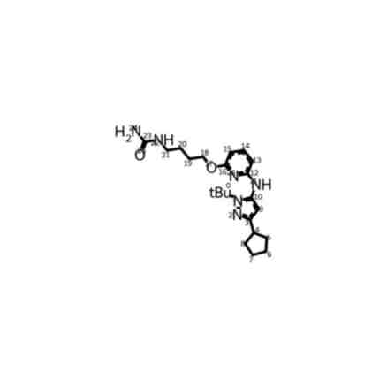 CC(C)(C)n1nc(C2CCCC2)cc1Nc1cccc(OCCCCNC(N)=O)n1